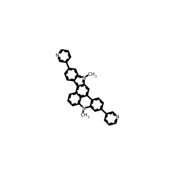 CN1c2cc(-c3cccnc3)ccc2-c2cc3c(c4cccc1c24)c1ccc(-c2cccnc2)cc1n3C